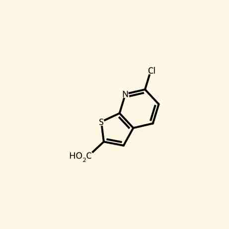 O=C(O)c1cc2ccc(Cl)nc2s1